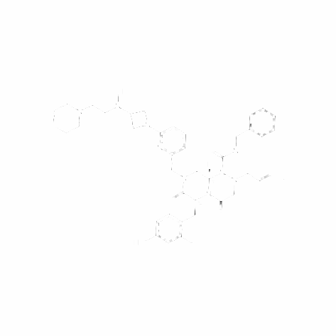 C=CCN1CC(=O)N2[C@@H](Cc3ccc(O)cc3F)C(=O)N(Cc3cccc(N4CC(N(C)CCN5CCOCC5)C4)n3)C[C@@H]2N1C(=O)NCc1ccccc1